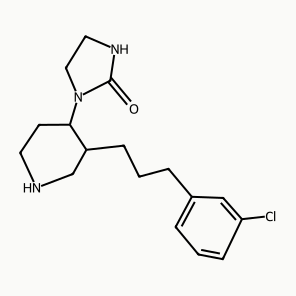 O=C1NCCN1C1CCNCC1CCCc1cccc(Cl)c1